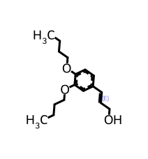 CCCCOc1ccc(/C=C/CO)cc1OCCCC